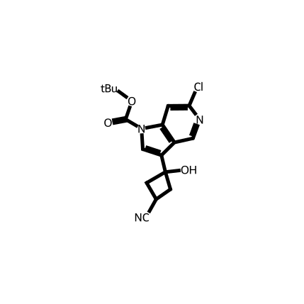 CC(C)(C)OC(=O)n1cc(C2(O)CC(C#N)C2)c2cnc(Cl)cc21